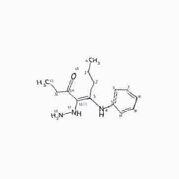 CCC/C(Nc1ccccc1)=C(/NN)C(=O)CC